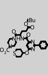 CCOC(=O)N1CCN(C(=O)C(CCC(=O)OC(C)(C)C)NC(=O)c2cc(OC3CCSCC3)nc(-c3ccccc3)n2)CC1